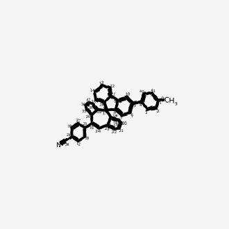 Cc1ccc(-c2ccc3c(c2)-c2ccccc2C32c3ccccc3C=C(c3ccc(C#N)cc3)c3ccccc32)cc1